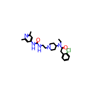 CCN(C(=O)Cc1ccccc1Cl)C1CCN(CCNC(=O)Nc2cc(C)nc(C)c2)CC1